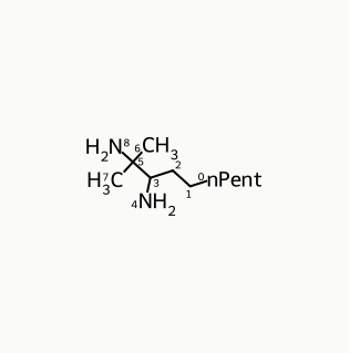 CCCCCCCC(N)C(C)(C)N